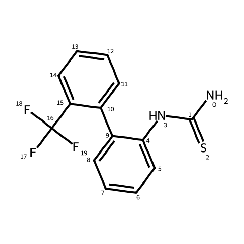 NC(=S)Nc1ccccc1-c1ccccc1C(F)(F)F